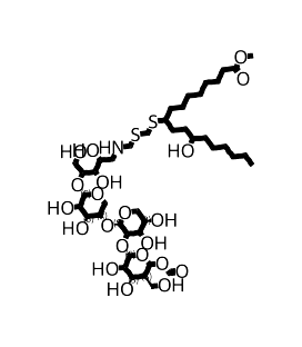 CCCCCCC(O)CCC(CCCCCCCC(=O)OC)SCSCNCC(O)C(O)C(CO)O[C@@H]1OC[C@@H](O[C@@H]2OC[C@@H](O)C(O)C2O[C@H]2OC(OC=O)[C@@H](CO)[C@H](O)C2O)[C@@H](O)C1O